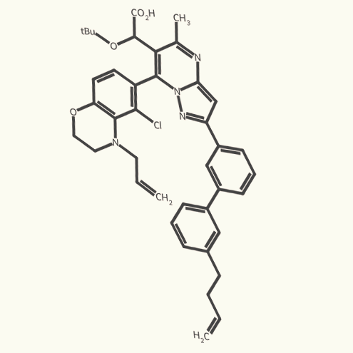 C=CCCc1cccc(-c2cccc(-c3cc4nc(C)c(C(OC(C)(C)C)C(=O)O)c(-c5ccc6c(c5Cl)N(CC=C)CCO6)n4n3)c2)c1